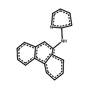 c1ccc(Nc2cc3ccccc3c3ccccc23)nc1